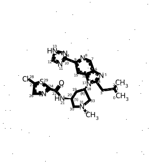 CC(C)Cc1nc2cnc(-c3nc[nH]n3)cc2n1[C@@H]1C[C@H](NC(=O)c2ncc(Cl)s2)CN(C)C1